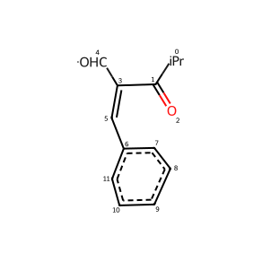 CC(C)C(=O)C([C]=O)=Cc1ccccc1